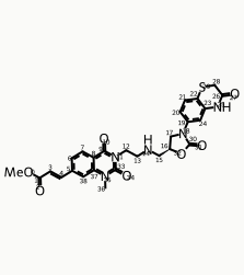 COC(=O)/C=C/c1ccc2c(=O)n(CCNC[C@H]3CN(c4ccc5c(c4)NC(=O)CS5)C(=O)O3)c(=O)n(C)c2c1